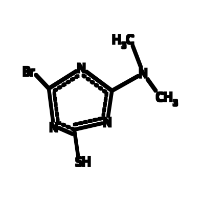 CN(C)c1nc(S)nc(Br)n1